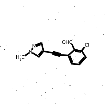 Cn1cc(C#Cc2cccc(Cl)c2C=O)cn1